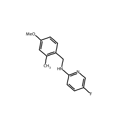 COc1ccc(CNc2ccc(F)cn2)c(C)c1